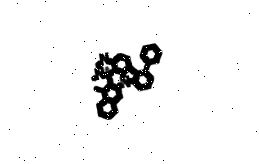 Cc1c2ccccc2cc2c1c1c3c(ccc4c5c(-c6ccccc6)cccc5n2c43)nc[n+]1C